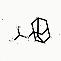 CCCCC(O)OC12CC3CC(CC(C3)C1)C2